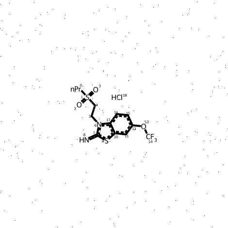 CCCS(=O)(=O)CCn1c(=N)sc2cc(OC(F)(F)F)ccc21.Cl